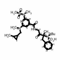 CC1CC1CN(C)c1cc(C(=O)NCC(=O)C(C)(Cc2ccccc2)N(C(=O)O)C(C)(C)C)cc(N(C)S(C)(=O)=O)n1